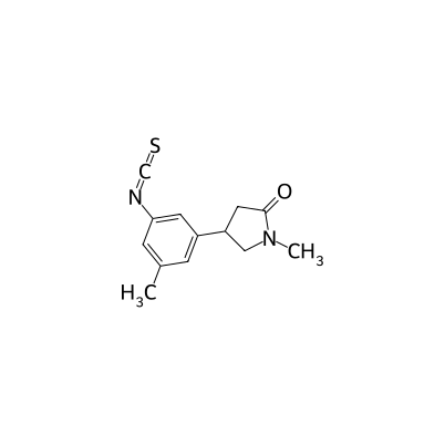 Cc1cc(N=C=S)cc(C2CC(=O)N(C)C2)c1